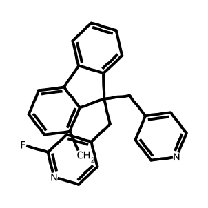 [CH2]c1cccc2c1C(Cc1ccncc1)(Cc1ccnc(F)c1)c1ccccc1-2